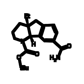 CC[C@]12CCCN(C(=O)OC(C)(C)C)[C@H]1c1cc(C(N)=O)ccc1C2